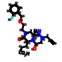 C#CCN1CC(=O)N2[C@H](CN(CCOCc3ccccc3F)C(=O)[C@@H]2CCC(=O)O)N1